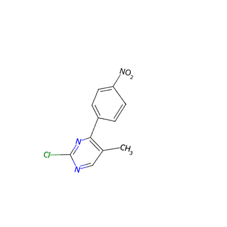 Cc1cnc(Cl)nc1-c1ccc([N+](=O)[O-])cc1